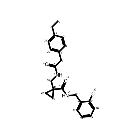 CCc1ccc(CC(=O)NCC2(C(=O)NCc3ccccc3Cl)CC2)cc1